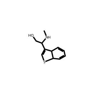 CNC(CO)C1=CSC2C=CC=CC12